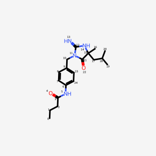 CCCC(=O)Nc1ccc(CN2C(=N)NC(C)(CC(C)C)C2=O)cc1